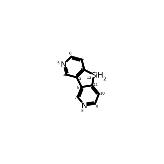 c1cc2c(cn1)-c1cnccc1[SiH2]2